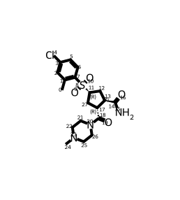 Cc1cc(Cl)ccc1S(=O)(=O)[C@@H]1C[C@@H](C(N)=O)[C@H](C(=O)N2CCN(C)CC2)C1